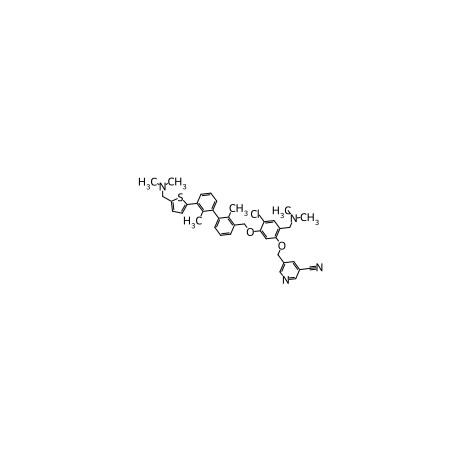 Cc1c(COc2cc(OCc3cncc(C#N)c3)c(CN(C)C)cc2Cl)cccc1-c1cccc(-c2ccc(CN(C)C)s2)c1C